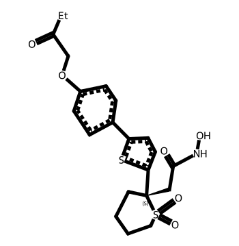 CCC(=O)COc1ccc(-c2ccc([C@@]3(CC(=O)NO)CCCCS3(=O)=O)s2)cc1